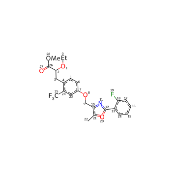 CCOC(Cc1ccc(OCc2nc(-c3ccccc3F)oc2C)cc1C(F)(F)F)C(=O)OC